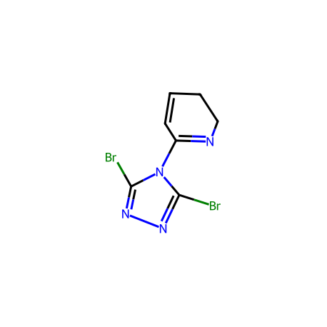 Brc1nnc(Br)n1C1=NCCC=C1